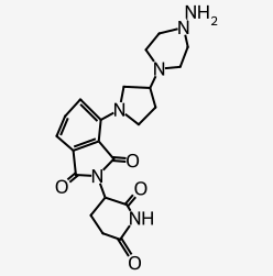 NN1CCN(C2CCN(c3cccc4c3C(=O)N(C3CCC(=O)NC3=O)C4=O)C2)CC1